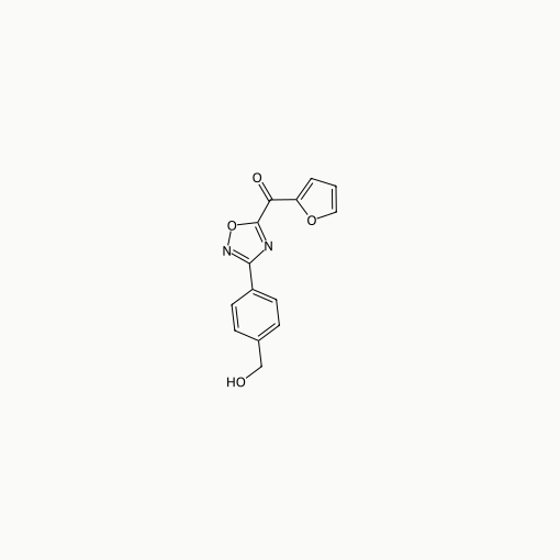 O=C(c1ccco1)c1nc(-c2ccc(CO)cc2)no1